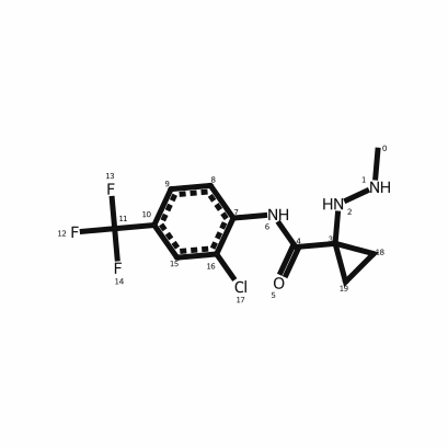 CNNC1(C(=O)Nc2ccc(C(F)(F)F)cc2Cl)CC1